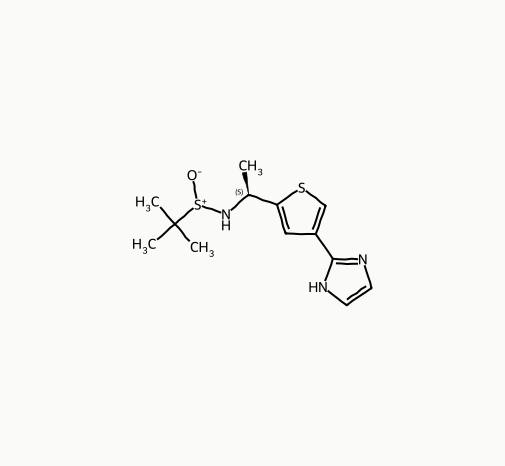 C[C@H](N[S+]([O-])C(C)(C)C)c1cc(-c2ncc[nH]2)cs1